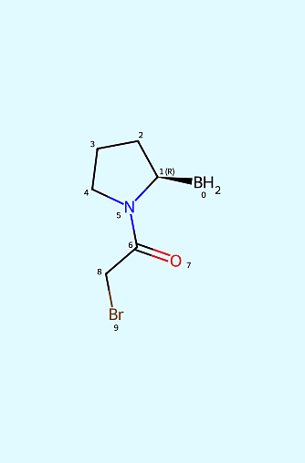 B[C@@H]1CCCN1C(=O)CBr